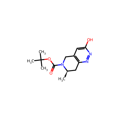 C[C@@H]1Cc2nnc(O)cc2CN1C(=O)OC(C)(C)C